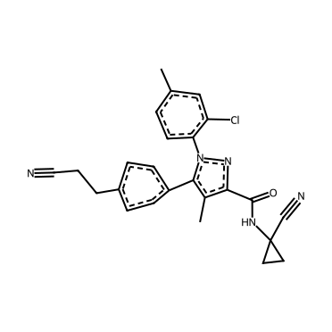 Cc1ccc(-n2nc(C(=O)NC3(C#N)CC3)c(C)c2-c2ccc(CCC#N)cc2)c(Cl)c1